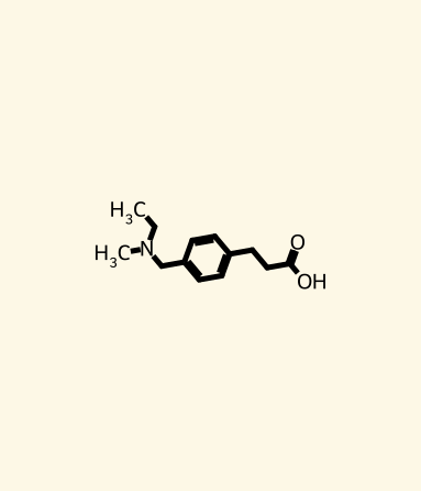 CCN(C)Cc1ccc(CCC(=O)O)cc1